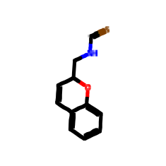 S=[C]NCC1C=Cc2ccccc2O1